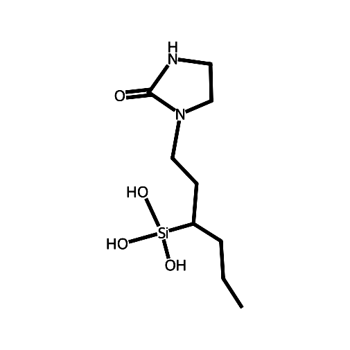 CCCC(CCN1CCNC1=O)[Si](O)(O)O